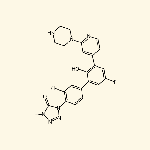 Cn1nnn(-c2ccc(-c3cc(F)cc(-c4ccnc(N5CCNCC5)c4)c3O)cc2Cl)c1=O